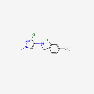 Cn1cc(NCc2ccc(C(F)(F)F)cc2F)c(Cl)n1